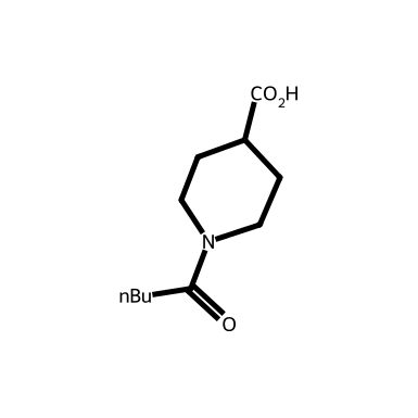 CCCCC(=O)N1CCC(C(=O)O)CC1